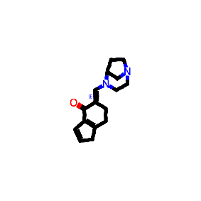 O=C1C2=C(CC=C2)CC/C1=C\N1CCN2CCC1C2